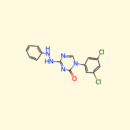 O=c1nc(NNc2ccccc2)ncn1-c1cc(Cl)cc(Cl)c1